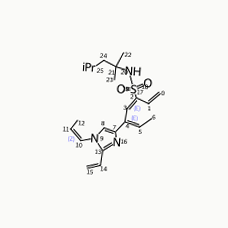 C=C/C(=C\C(=C/C)c1cn(/C=C\C)c(C=C)n1)S(=O)(=O)NC(C)(C)CC(C)C